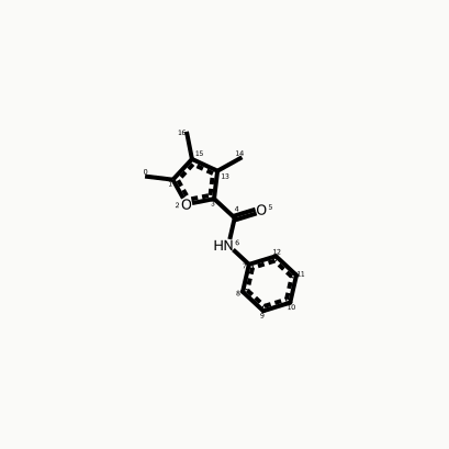 Cc1oc(C(=O)Nc2ccccc2)c(C)c1C